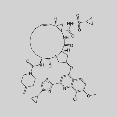 C=C1CCN(C(=O)N[C@H]2CCCCC/C=C\[C@@H]3C[C@@]3(C(=O)NS(=O)(=O)C3CC3)NC(=O)[C@@H]3C[C@@H](Oc4cc(-c5nc(C6CC6)cs5)nc5c(Cl)c(OC)ccc45)CN3C2=O)CC1